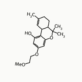 COCCOc1cc(O)c2c(c1)OC(C)(C)C1CCC(C)=CC21